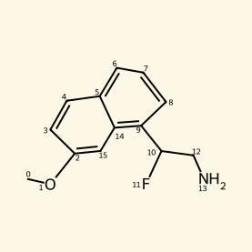 COc1ccc2cccc(C(F)CN)c2c1